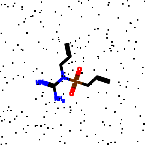 C=CCN(C(=N)N)S(=O)(=O)CC=C